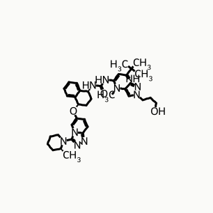 C[C@H]1CCCCN1c1nnc2ccc(O[C@@H]3CC[C@H](NC(=O)N/C(=C/C(=N)C(C)(C)C)N(C)c4cnn(CCCO)c4)c4ccccc43)cn12